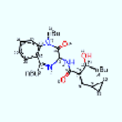 CCCCC1=NC(NC(=O)[C@H](CC2CC2)[C@@H](O)CCCC)C(=O)N(CCCC)c2ccccc21